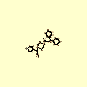 N#CC(c1ccncc1)N1CCN(C(=O)CC(c2ccccc2)c2ccccc2)CC1